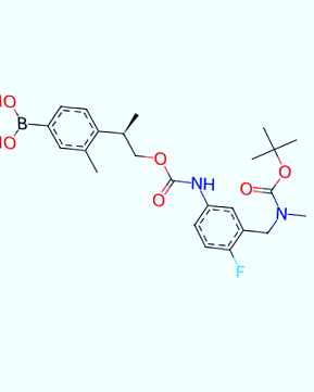 Cc1cc(B(O)O)ccc1[C@@H](C)COC(=O)Nc1ccc(F)c(CN(C)C(=O)OC(C)(C)C)c1